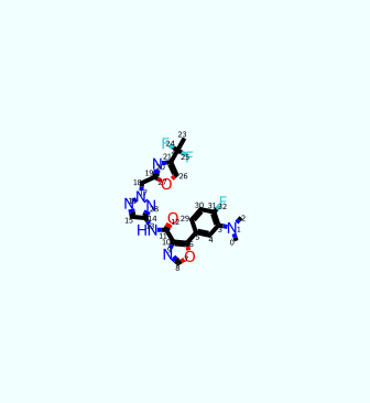 CN(C)c1cc(-c2ocnc2C(=O)Nc2cnn(Cc3nc(C(C)(F)F)co3)n2)ccc1F